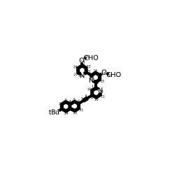 CC(C)(C)c1ccc2cc(C#Cc3ccnc(-c4cc(OC=O)cc(-c5cc(OC=O)ccn5)n4)c3)ccc2c1